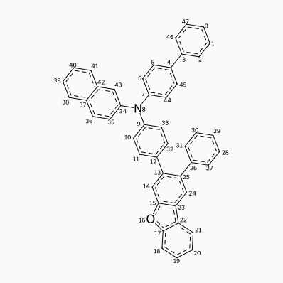 c1ccc(-c2ccc(N(c3ccc(-c4cc5oc6ccccc6c5cc4-c4ccccc4)cc3)c3ccc4ccccc4c3)cc2)cc1